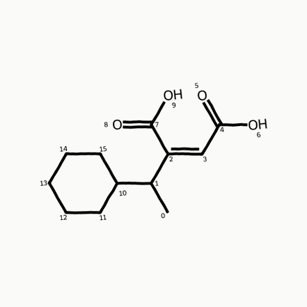 CC(C(=CC(=O)O)C(=O)O)C1CCCCC1